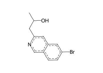 CC(O)Cc1cc2cc(Br)ccc2cn1